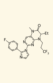 CCC1C(=O)N(C)c2cnc(-n3ccnc3-c3ccc(F)cc3)nc2N1CCC(F)(F)F